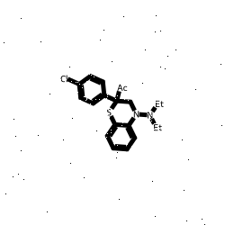 CCN(CC)N1CC(C(C)=O)(c2ccc(Cl)cc2)Sc2ccccc21